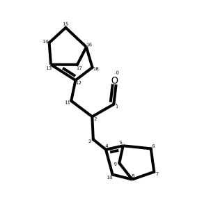 O=[C]C(CC1=C2CCC(C2)C1)CC1=C2CCC(C2)C1